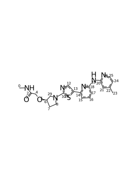 CNC(=O)CO[C@@H]1CCN(c2ncc(-c3cccc(Nc4cc(C)ccn4)n3)s2)C1